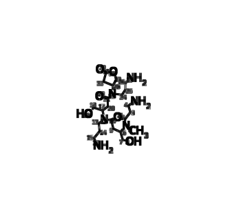 CN(CCCN)C(CO)CC(=O)N(CCCN)C(CO)CC(=O)N(CCCN)C1COC(=O)C1